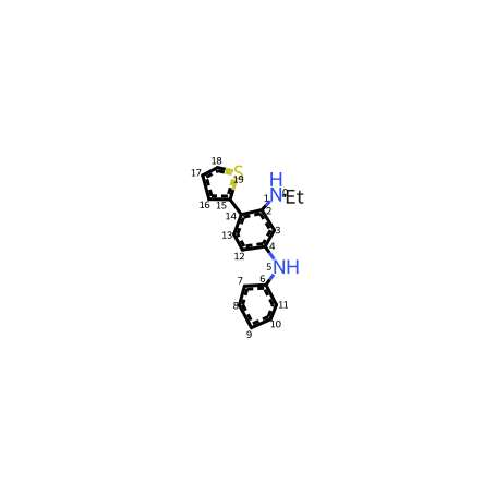 CCNc1cc(Nc2ccccc2)ccc1-c1cccs1